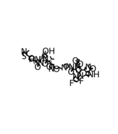 Cc1ncsc1-c1ccc([C@@]2(C)NC([C@H]3C[C@@H](O)CN3C(=O)[C@@H](c3cc(OCCN4CC[C@H](NC(=O)c5cc6c(cc5CS(C)(=O)=O)-c5cn(C)c(=O)c7[nH]cc(c57)CN6c5ncc(F)cc5F)C4)no3)C(C)C)=NC2=O)cc1